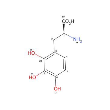 N[C@@H](Cc1ccc(O)c(O)c1O)C(=O)O